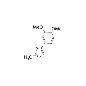 COc1ccc(-c2ccc(C)s2)cc1OC